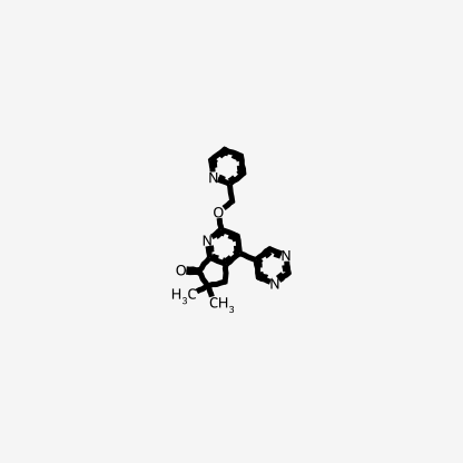 CC1(C)Cc2c(-c3cncnc3)cc(OCc3ccccn3)nc2C1=O